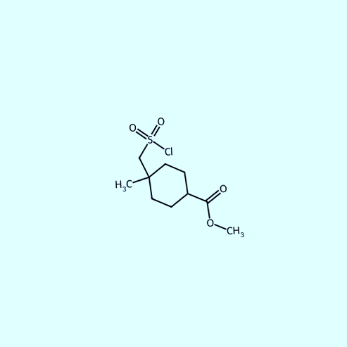 COC(=O)C1CCC(C)(CS(=O)(=O)Cl)CC1